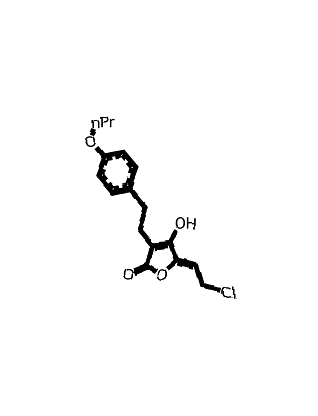 CCCOc1ccc(CCC2=C(O)/C(=C/CCl)OC2=O)cc1